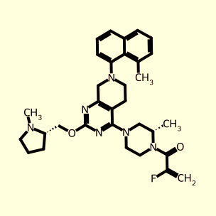 C=C(F)C(=O)N1CCN(c2nc(OC[C@@H]3CCCN3C)nc3c2CCN(c2cccc4cccc(C)c24)C3)C[C@@H]1C